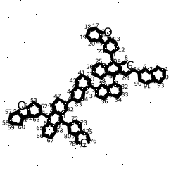 c1ccc2cc(-c3ccc4c(-c5ccc6oc7ccccc7c6c5)c5ccccc5c(-c5cccc6ccc(-c7cccc8cc(-c9ccc%10c(-c%11ccc%12oc%13ccccc%13c%12c%11)c%11ccccc%11c(-c%11ccc%12ccccc%12c%11)c%10c9)ccc78)cc56)c4c3)ccc2c1